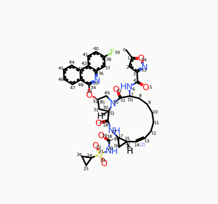 Cc1cc(C(=O)N[C@H]2CCCCC/C=C\[C@@H]3C[C@@]3(C(=O)NS(=O)(=O)C3CC3)NC(=O)[C@@H]3C[C@@H](Oc4nc5cc(F)ccc5c5ccccc45)CN3C2=O)no1